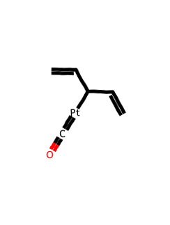 C=C[CH](C=C)[Pt]=[C]=O